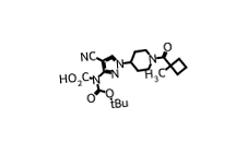 CC(C)(C)OC(=O)N(C(=O)O)c1nn(C2CCN(C(=O)C3(C)CCC3)CC2)cc1C#N